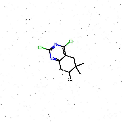 [2H]C1Cc2nc(Cl)nc(Cl)c2CC1(C)C